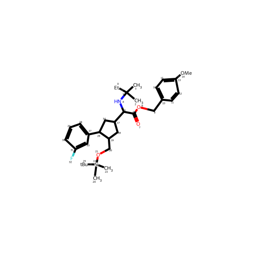 CCC(C)(C)NC(C(=O)OCc1ccc(OC)cc1)C1CC(CO[Si](C)(C)C(C)(C)C)C(c2cccc(F)c2)C1